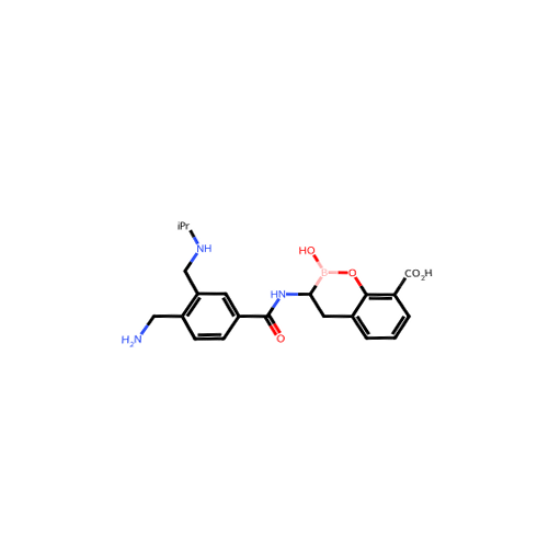 CC(C)NCc1cc(C(=O)NC2Cc3cccc(C(=O)O)c3OB2O)ccc1CN